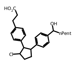 CCCCCC(O)c1ccc(C2CCC(Cl)C2c2ccc(CCC(=O)O)cc2)cc1